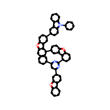 c1ccc(-c2cc(-c3ccc4c(c3)oc3ccccc34)nc(-c3cccc4oc5ccc(-c6cccc7oc8ccc(-c9ccc%10c(c9)c9ccccc9n%10-c9ccccc9)cc8c67)cc5c34)n2)cc1